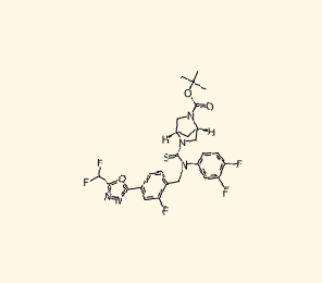 CC(C)(C)OC(=O)N1C[C@@H]2C[C@H]1CN2C(=S)N(Cc1ccc(-c2nnc(C(F)F)o2)cc1F)c1ccc(F)c(F)c1